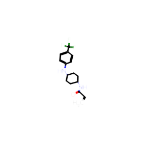 C=CC(=O)N[C@H]1CC[C@@H](Nc2ccc(C(F)(F)F)cc2)CC1